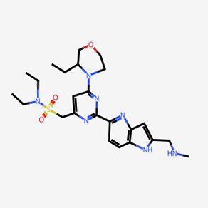 CCC1COCCN1c1cc(CS(=O)(=O)N(CC)CC)nc(-c2ccc3[nH]c(CNC)cc3n2)n1